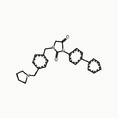 O=C1CN(Cc2ccc(CN3CCCC3)cc2)C(=O)N1c1ccc(-c2ccccc2)cc1